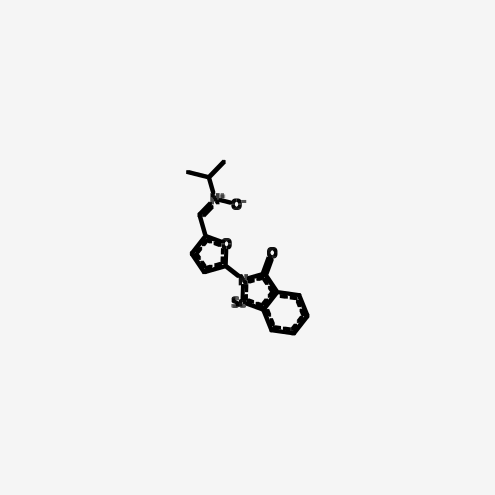 CC(C)[N+]([O-])=Cc1ccc(-n2[se]c3ccccc3c2=O)o1